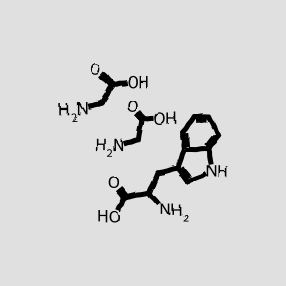 NC(Cc1c[nH]c2ccccc12)C(=O)O.NCC(=O)O.NCC(=O)O